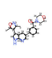 Cc1noc(C)c1-c1c[nH]c2ncc(-c3cccc(C(=O)N4CCOCC4)c3)cc12